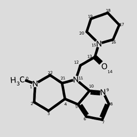 CN1CCC2c3cccnc3N(CC(=O)N3CCCCC3)C2C1